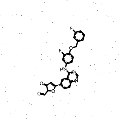 O=CC1OC(c2ccc3ncnc(Nc4ccc(OCc5cccc(F)c5)c(F)c4)c3c2)=CC1=O